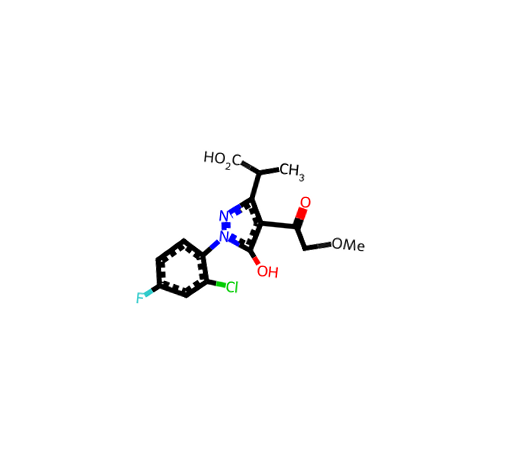 COCC(=O)c1c(C(C)C(=O)O)nn(-c2ccc(F)cc2Cl)c1O